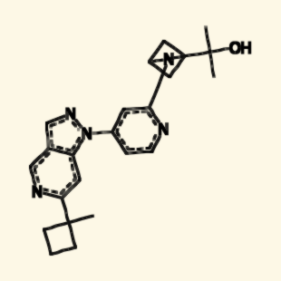 CC1(c2cc3c(cn2)cnn3-c2ccnc(N3CC4(C(C)(C)O)CC3C4)c2)CCC1